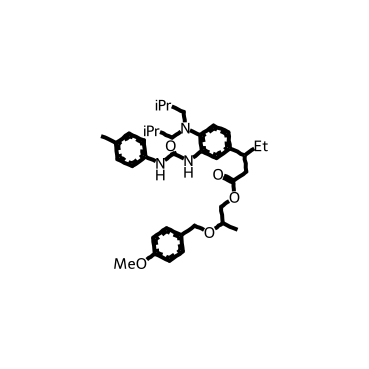 CCC(CC(=O)OCC(C)OCc1ccc(OC)cc1)c1ccc(N(CC(C)C)CC(C)C)c(NC(=O)Nc2ccc(C)cc2)c1